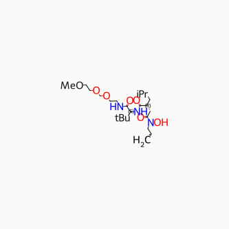 C=CCN(O)C(=O)C[C@@H](CC(C)C)C(=O)N[C@H](C(=O)NCCOCOCCOC)C(C)(C)C